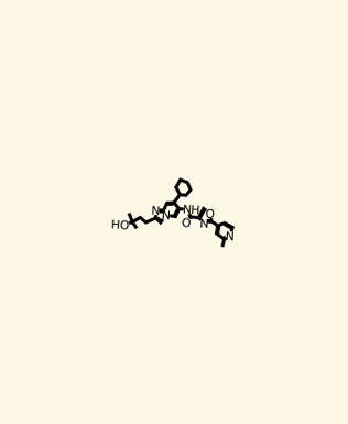 Cc1cc(-c2nc(C(=O)Nc3cn4cc(CCC(C)(C)O)nc4cc3C3CCCCC3)co2)ccn1